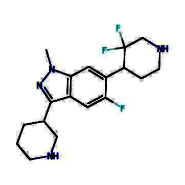 Cn1nc(C2CCCNC2)c2cc(F)c(C3CCNCC3(F)F)cc21